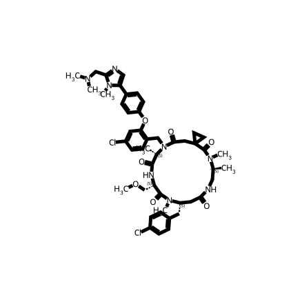 COC[C@@H]1NC(=O)[C@H](C)N(Cc2ccc(Cl)cc2Oc2ccc(-c3cnc(CN(C)C)n3C)cc2)C(=O)CC2(CC2)C(=O)N(C)[C@@H](C)CNC(=O)C[C@H](Cc2ccc(Cl)cc2)N(C)C1=O